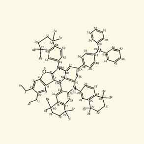 CCc1cc2oc3c(c2cc1CC)B1c2cc4c(cc2N(c2ccc5c(c2)C(C)(C)CCC5(C)C)c2cc(-c5ccc(N(c6ccccc6)c6ccccc6)cc5)cc(c21)N3c1ccc2c(c1)C(C)(C)CCC2(C)C)C(C)(C)CCC4(C)C